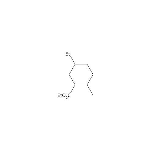 CCOC(=O)C1CC(CC)CCC1C